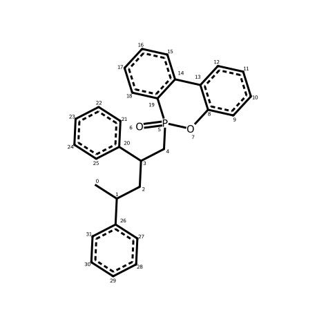 CC(CC(CP1(=O)Oc2ccccc2-c2ccccc21)c1ccccc1)c1ccccc1